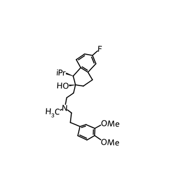 COc1ccc(CCN(C)CC[C@@]2(O)CCc3cc(F)ccc3[C@@H]2C(C)C)cc1OC